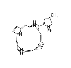 CCN1CN(C)C=C1c1cc2cc3nc(cc4ccc(cc5nc(cc1[nH]2)C=C5)[nH]4)C=C3